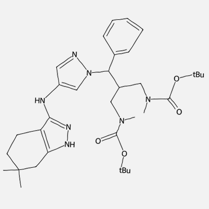 CN(CC(CN(C)C(=O)OC(C)(C)C)C(c1ccccc1)n1cc(Nc2n[nH]c3c2CCC(C)(C)C3)cn1)C(=O)OC(C)(C)C